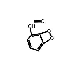 C=O.Oc1cccc2ooc12